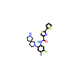 Cc1cc(N2CCC3(CCNC3)C2)c(NC(=O)c2csc(-c3cccs3)n2)cc1F